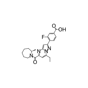 CCc1cc(C(=O)N2CCCCC[C@H]2C)nc2cc(-c3ccc(C(=O)O)cc3F)nn12